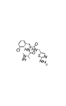 CC(C)N(C)C(C)C(=O)N[C@@H](Cc1cccc(Cl)c1)C(=O)NCc1cnc(N)s1